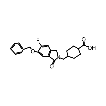 O=C(O)C1CCC(CN2Cc3cc(F)c(OCc4ccccc4)cc3C2=O)CC1